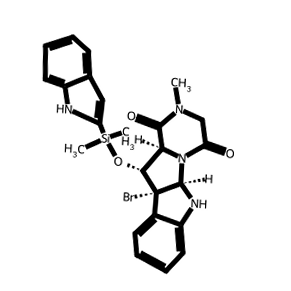 CN1CC(=O)N2[C@H](C1=O)[C@@H](O[Si](C)(C)c1cc3ccccc3[nH]1)[C@]1(Br)c3ccccc3N[C@H]21